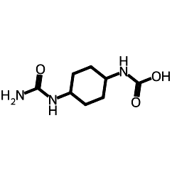 NC(=O)NC1CCC(NC(=O)O)CC1